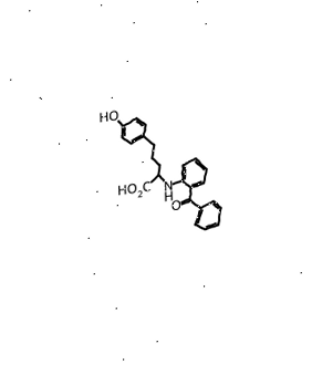 O=C(c1ccccc1)c1ccccc1NC(CCCc1ccc(O)cc1)C(=O)O